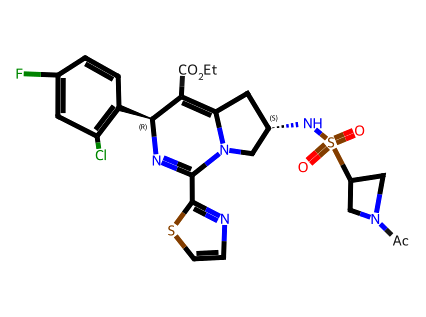 CCOC(=O)C1=C2C[C@H](NS(=O)(=O)C3CN(C(C)=O)C3)CN2C(c2nccs2)=N[C@H]1c1ccc(F)cc1Cl